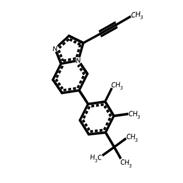 CC#Cc1cnc2ccc(-c3ccc(C(C)(C)C)c(C)c3C)cn12